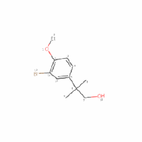 CCOc1ccc(C(C)(C)CO)cc1Br